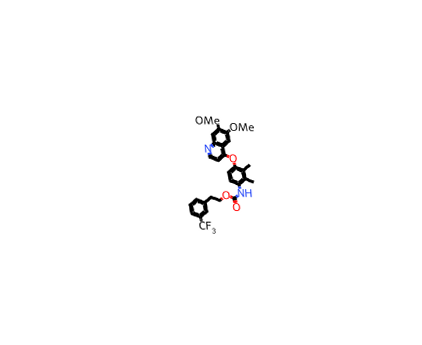 COc1cc2nccc(Oc3ccc(NC(=O)OCCc4cccc(C(F)(F)F)c4)c(C)c3C)c2cc1OC